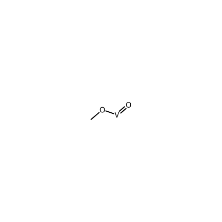 C[O][V]=[O]